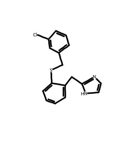 Clc1cccc(CSc2ccccc2Cc2ncc[nH]2)c1